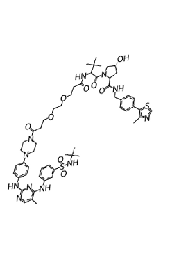 Cc1cnc(Nc2ccc(N3CCN(C(=O)CCOCCOCCC(=O)N[C@H](C(=O)N4C[C@H](O)C[C@H]4C(=O)NCc4ccc(-c5scnc5C)cc4)C(C)(C)C)CC3)cc2)nc1Nc1cccc(S(=O)(=O)NC(C)(C)C)c1